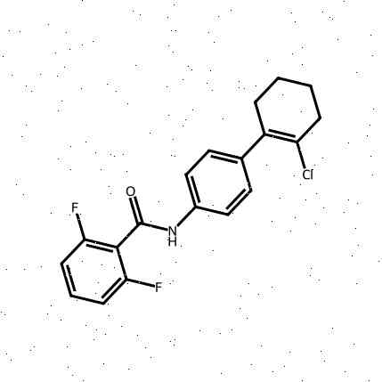 O=C(Nc1ccc(C2=C(Cl)CCCC2)cc1)c1c(F)cccc1F